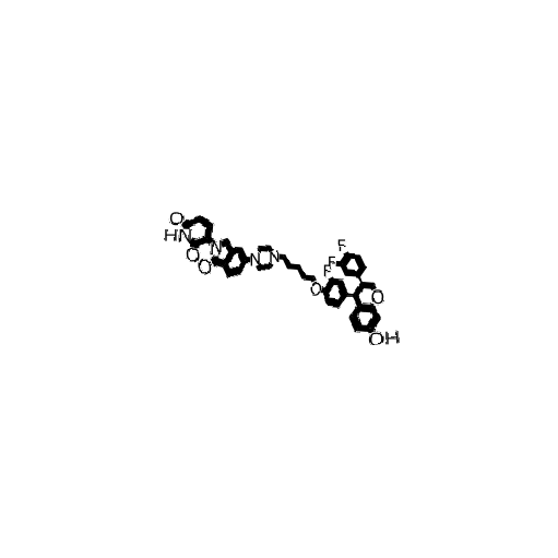 O=C1CCC(N2Cc3cc(N4CCN(CCCCCOc5ccc([C@@H]6c7ccc(O)cc7OC[C@@H]6c6ccc(F)c(F)c6)cc5F)CC4)ccc3C2=O)C(=O)N1